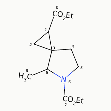 CCOC(=O)C1CC12CCN(C(=O)OCC)C2C